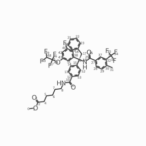 COC(=O)CCCCCNC(=O)c1ccc([C@@](Cc2ccccc2)(NC(=O)c2ccc(C)c(C(F)(F)F)c2)c2cc(F)cc(OC(F)(F)C(F)F)c2)cc1